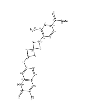 CCc1nc2cnc(CN3CC4(C3)CN(c3ccc(C(=O)NC)nc3C)C4)cc2[nH]c1=O